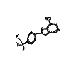 Oc1cncc2cc(-c3ccc(C(F)(F)F)cc3)sc12